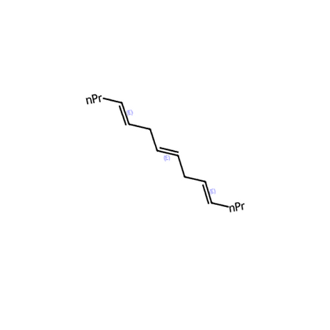 CCC/C=C/C/C=C/C/C=C/CCC